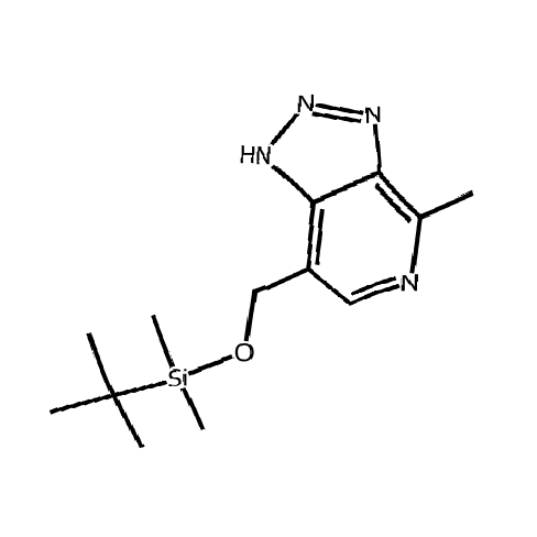 Cc1ncc(CO[Si](C)(C)C(C)(C)C)c2[nH]nnc12